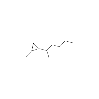 CCCCC(C)C1CC1C